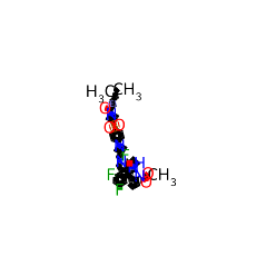 COC(=O)N[C@H]1CCC[C@@H]1[C@](CN1CCC1)(c1cc(F)cc(F)c1)C1CCN(CC2(F)CN(c3ccc(S(=O)(=O)C4CN(C(=O)/C=C/CC(C)C)C4)cc3)C2)CC1